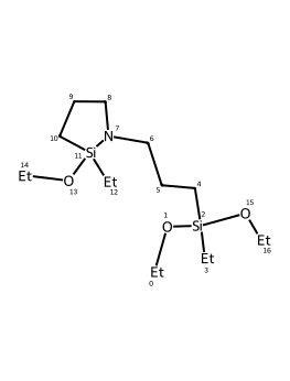 CCO[Si](CC)(CCCN1CCC[Si]1(CC)OCC)OCC